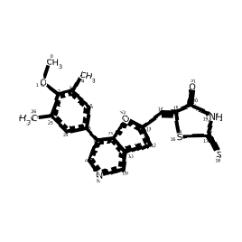 COc1c(C)cc(-c2cncc3cc(/C=C4\SC(=S)NC4=O)oc23)cc1C